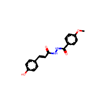 COc1ccc(C(=O)NNC(=O)/C=C/c2ccc(O)cc2)cc1